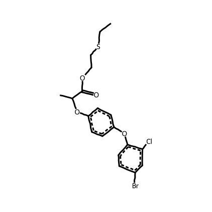 CCSCCOC(=O)C(C)Oc1ccc(Oc2ccc(Br)cc2Cl)cc1